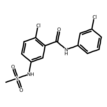 CS(=O)(=O)Nc1ccc(Cl)c(C(=O)Nc2cccc(Cl)c2)c1